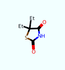 CCC1(CC)SC(=O)NC1=O